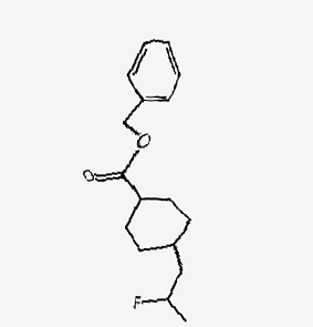 CC(F)CC1CCC(C(=O)OCc2ccccc2)CC1